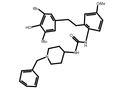 COc1ccc(NC(=O)NC2CCN(Cc3ccccc3)CC2)c(CCc2cc(C(C)(C)C)c(O)c(C(C)(C)C)c2)c1